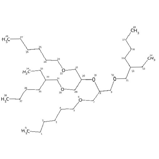 CCCCCCOCC(COCC(CC)CCCC)OC(COCCCCCC)COCC(CC)CCCC